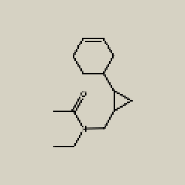 CCN(CC1CC1C1CC=CCC1)C(C)=O